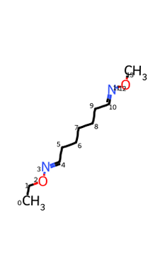 CCON=CCCCCCC=NOC